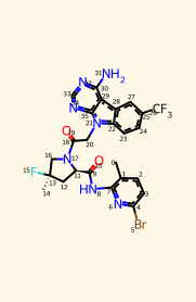 Cc1ccc(Br)nc1NC(=O)[C@H]1C[C@@](C)(F)CN1C(=O)Cn1c2ccc(C(F)(F)F)cc2c2c(N)ncnc21